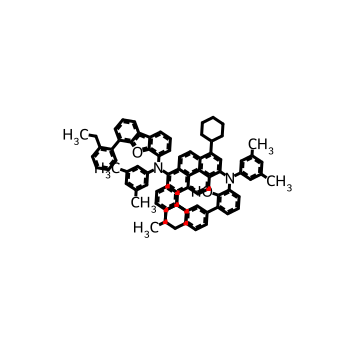 CCc1ccccc1-c1cccc(-c2cccc(N(c3cc(C)cc(C)c3)c3cc(C4CCCCC4)c4ccc5c(N(c6cc(C)cc(C)c6)c6cccc7c6oc6c(-c8ccccc8CC)cccc67)cc(C6CCCCC6)c6ccc3c4c65)c2O)c1